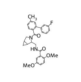 COc1ccc(OC)c(C(=O)NCC2C3CC3CN2C(=O)c2ccc(C)cc2-c2cccc(F)c2)c1